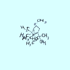 [3H]OC(C)(C)C12CC([C@H](C)C1)C(C)(C)[C@@]2(C)OC